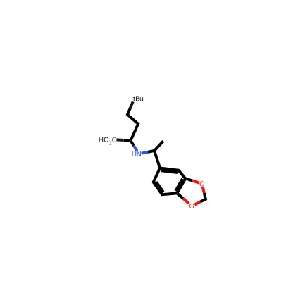 CC(NC(CCC(C)(C)C)C(=O)O)c1ccc2c(c1)OCO2